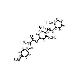 Cc1cc(OC(=O)N(C)Sc2ccc(C(C)(C)C)cc2)cc(C)c1N=Cc1ccccc1O